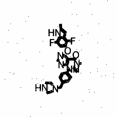 CCN(C)C(=O)c1c(Nc2ccc(CN3CCNCC3)cc2)ncnc1Oc1cc(F)c2[nH]c(C)cc2c1F